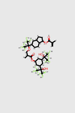 C=C(C)C(=O)OC1CCC2CC(C(OCC(C)C(=O)OC3CC(C(O)(C(F)(F)F)C(F)(F)F)CC(C(O)(C(F)(F)F)C(F)(F)F)C3)(C(F)(F)F)C(F)(F)F)CCC21